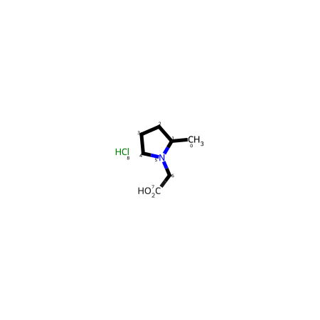 CC1CCCN1CC(=O)O.Cl